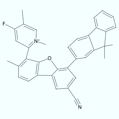 Cc1c[n+](C)c(-c2c(C)ccc3c2oc2c(-c4ccc5c(c4)C(C)(C)c4ccccc4-5)cc(C#N)cc23)cc1F